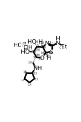 CCNC1=N[C@@H]2[C@@H](O)[C@H](O)[C@@H](CNC3CCCC3)O[C@@H]2S1.Cl.Cl